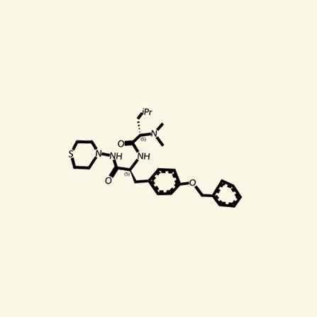 CC(C)C[C@@H](C(=O)N[C@@H](Cc1ccc(OCc2ccccc2)cc1)C(=O)NN1CCSCC1)N(C)C